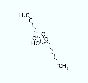 CCCCCCCCCc1cc(O)c(C(=O)CCCCCCCC)c(=O)o1